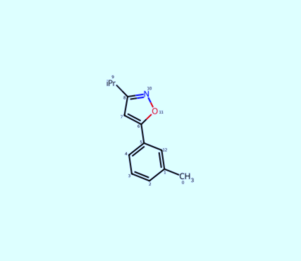 Cc1cccc(-c2cc(C(C)C)no2)c1